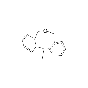 CC1c2ccccc2COCC2C=CC=CC21